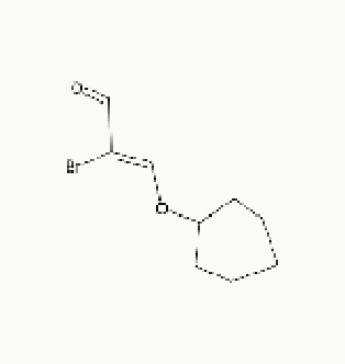 O=CC(Br)=COC1CCCCC1